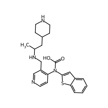 CC(CC1CCNCC1)NCc1cnccc1N(C(=O)O)c1cc2ccccc2s1